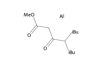 CCC(C)C(C(=O)CC(=O)OC)C(C)CC.[Al]